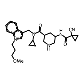 COCCCn1cc(CN(C(=O)C2CNCC(NC(=O)C3(C#N)CC3)C2)C2CC2)c2ccccc21